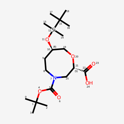 CC(C)(C)OC(=O)N1CC[C@@H](O[Si](C)(C)C(C)(C)C)CO[C@H](C(=O)O)C1